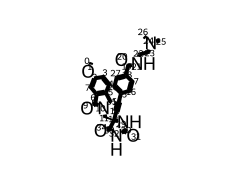 COc1ccc2c(c1)C(=O)N(C[C@@]1(C#Cc3ccc(C(=O)NCCN(C)C)cc3)NC(=O)NC1=O)C2